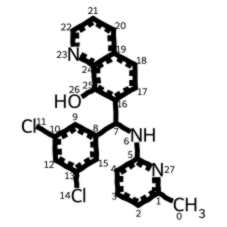 Cc1cccc(NC(c2cc(Cl)cc(Cl)c2)c2ccc3cccnc3c2O)n1